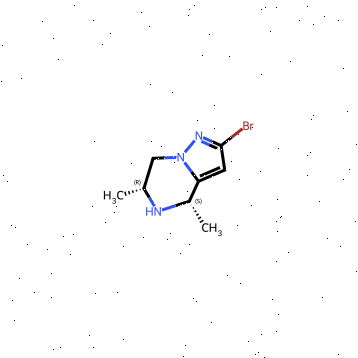 C[C@@H]1Cn2nc(Br)cc2[C@H](C)N1